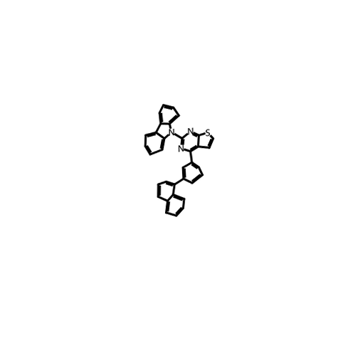 c1cc(-c2cccc3ccccc23)cc(-c2nc(-n3c4ccccc4c4ccccc43)nc3sccc23)c1